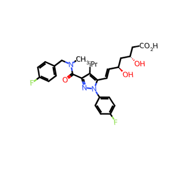 CC(C)c1c(C(=O)N(C)Cc2ccc(F)cc2)nn(-c2ccc(F)cc2)c1C=C[C@H](O)C[C@@H](O)CC(=O)O